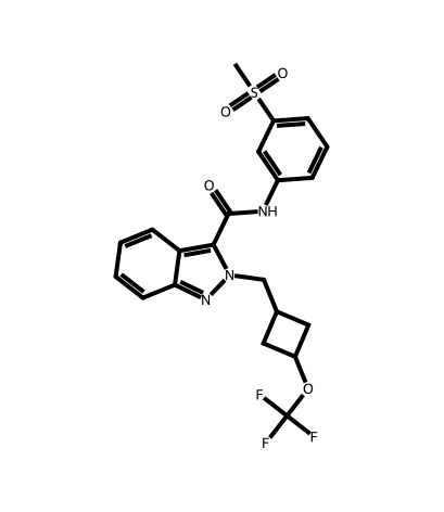 CS(=O)(=O)c1cccc(NC(=O)c2c3ccccc3nn2CC2CC(OC(F)(F)F)C2)c1